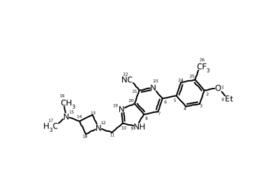 CCOc1ccc(-c2cc3[nH]c(CN4CC(N(C)C)C4)nc3c(C#N)n2)cc1C(F)(F)F